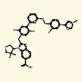 Cn1cc(-c2ccc(COc3cccc(-c4cc(F)c(Cc5nc6ccc(C(=O)O)cc6n5C5COCC5(C)C)cc4F)n3)c(F)c2)nn1